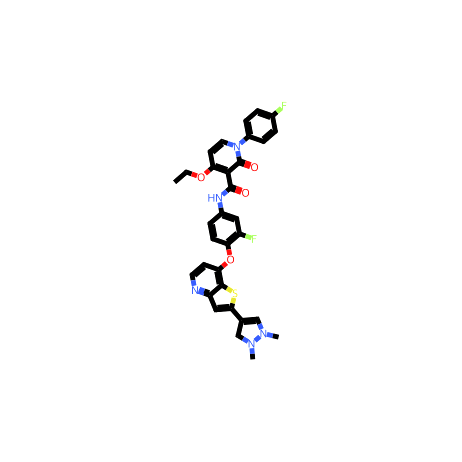 CCOc1ccn(-c2ccc(F)cc2)c(=O)c1C(=O)Nc1ccc(Oc2ccnc3cc(C4=CN(C)N(C)C4)sc23)c(F)c1